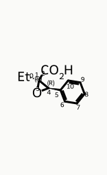 CC[C@@]1(C(=O)O)O[C@@H]1c1ccccc1